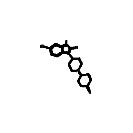 O=C1CCC(N2CCC(n3c(=O)[nH]c4cc(Cl)ccc43)CC2)CC1